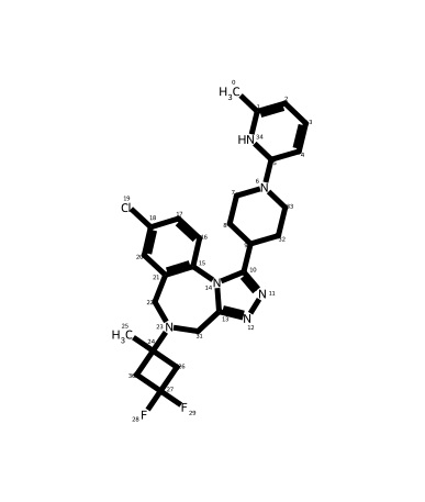 CC1=CC=CC(N2CCC(c3nnc4n3-c3ccc(Cl)cc3CN(C3(C)CC(F)(F)C3)C4)CC2)N1